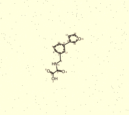 O=C(O)C(=O)NCc1cccc(-c2ccoc2)c1